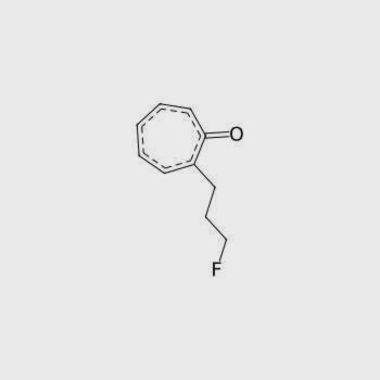 O=c1cccccc1CCCF